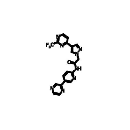 O=C(Cn1cc(-c2ccnc(C(F)(F)F)n2)cn1)Nc1ccc(-c2cnccn2)cn1